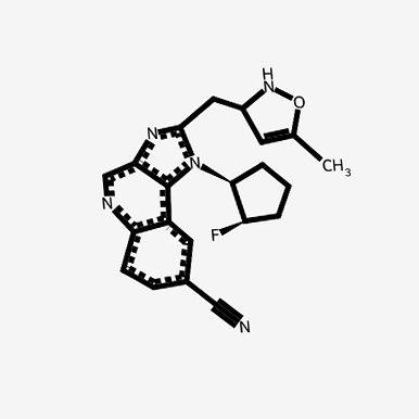 CC1=CC(Cc2nc3cnc4ccc(C#N)cc4c3n2[C@H]2CCC[C@H]2F)NO1